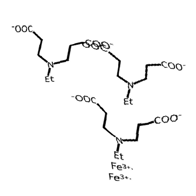 CCN(CCC(=O)[O-])CCC(=O)[O-].CCN(CCC(=O)[O-])CCC(=O)[O-].CCN(CCC(=O)[O-])CCC(=O)[O-].[Fe+3].[Fe+3]